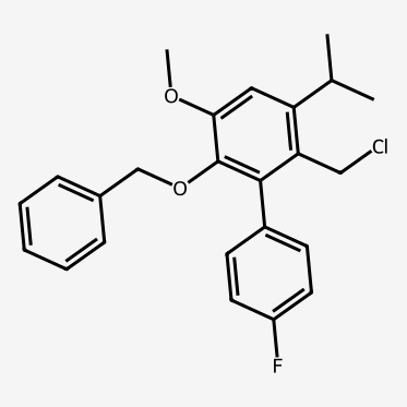 COc1cc(C(C)C)c(CCl)c(-c2ccc(F)cc2)c1OCc1ccccc1